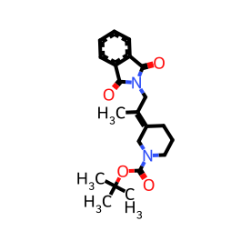 C/C(CN1C(=O)c2ccccc2C1=O)=C1/CCCN(C(=O)OC(C)(C)C)C1